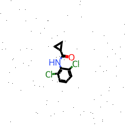 O=C(Nc1c(Cl)cccc1Cl)C1CC1